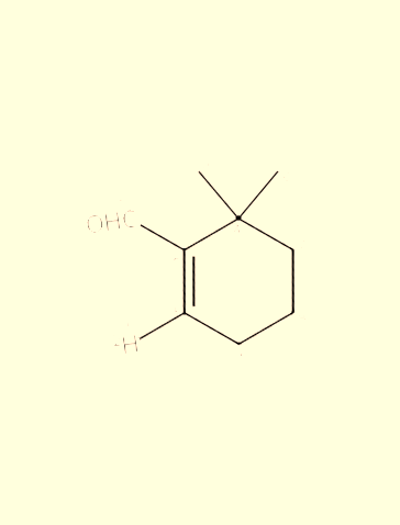 [2H]C1=C(C=O)C(C)(C)CCC1